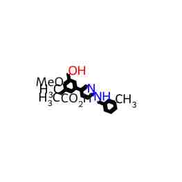 COc1c(CO)cc(-c2ccc(NCc3cccc(C)c3)nc2)cc1C(C)(C)C(=O)O